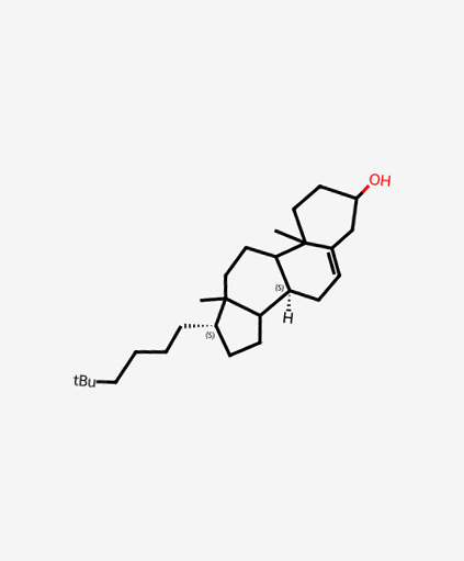 CC(C)(C)CCCC[C@H]1CCC2[C@@H]3CC=C4CC(O)CCC4(C)C3CCC21C